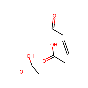 C=C.CC(=O)O.CC=O.CCO.[O]